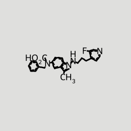 Cc1cn(NCCCc2ccncc2F)c2ccc(N(Cc3ccccc3)C(=O)O)cc12